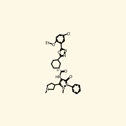 CCOc1ccc(Cl)cc1-c1nnc(C2CCC[C@@H](C(=O)Nc3c(C4CCN(C)C4)n(C)n(-c4ccccc4)c3=O)C2)o1